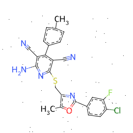 Cc1ccc(-c2c(C#N)c(N)nc(SCc3nc(-c4ccc(Cl)c(F)c4)oc3C)c2C#N)cc1